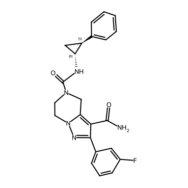 NC(=O)c1c(-c2cccc(F)c2)nn2c1CN(C(=O)N[C@@H]1C[C@H]1c1ccccc1)CC2